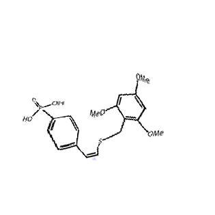 COc1cc(OC)c(CS/C=C\c2ccc(P(=O)(O)O)cc2)c(OC)c1